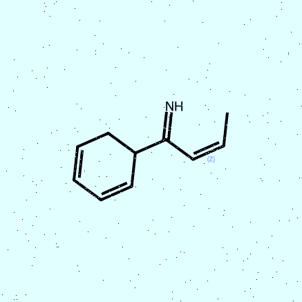 C/C=C\C(=N)C1C=CC=CC1